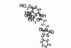 CCc1ccc(/C=C2\SC(=O)N(CCCC(=O)Nc3ccc(C(=O)O)c(NS(C)(=O)=O)c3)C2=O)cc1